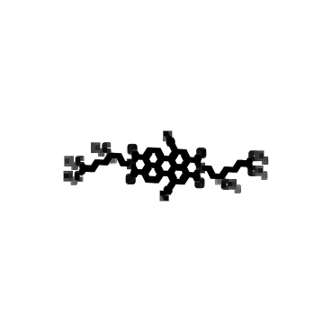 CC(C)=CCC[C@H](C)CCN1C(=O)c2ccc3c4c(C#N)cc5c6c(cc(C#N)c(c7ccc(c2c37)C1=O)c64)C(=O)N(CC[C@@H](C)CCC=C(C)C)C5=O